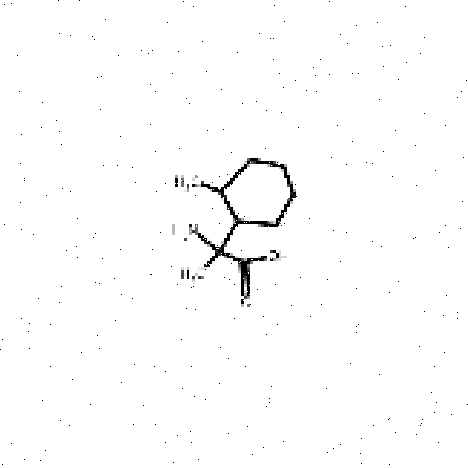 CC1CCCCC1C(C)(N)C(=O)O